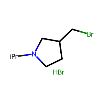 Br.CC(C)N1CCC(CBr)C1